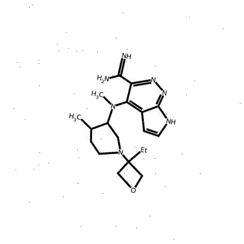 CCC1(N2CCC(C)C(N(C)c3c(C(=N)N)nnc4[nH]ccc34)C2)COC1